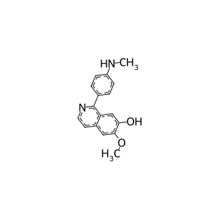 CNc1ccc(-c2nccc3cc(OC)c(O)cc23)cc1